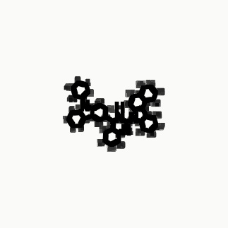 c1ccc(-n2c3ccccc3c3cc(C4=c5ccccc5=NC(n5c6ccccc6c6c7ccccc7ccc65)N4)ccc32)cc1